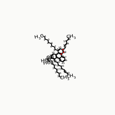 CCCCCCCCCc1ccccc1-c1ccc(P(O)(O)(O)CCCCCCCCC)c(CCCCCCCCC)c1-c1ccccc1CCCCCCCCC